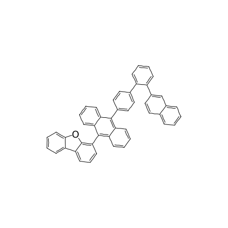 c1ccc(-c2ccc3ccccc3c2)c(-c2ccc(-c3c4ccccc4c(-c4cccc5c4oc4ccccc45)c4ccccc34)cc2)c1